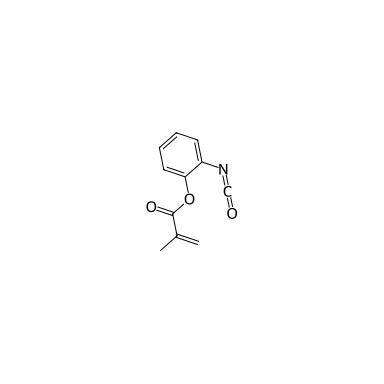 C=C(C)C(=O)Oc1ccccc1N=C=O